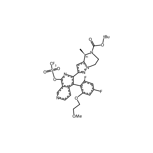 COCCOc1cc(F)cc(F)c1-c1c(-c2cc3n(n2)CCN(C(=O)OC(C)(C)C)[C@@H]3C)nc(OS(=O)(=O)C(F)(F)F)c2cnccc12